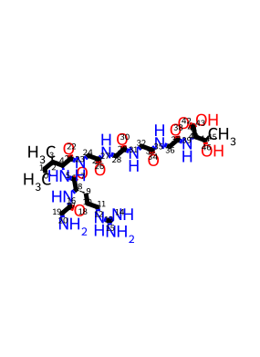 CC[C@H](C)[C@H](NC(=O)[C@H](CCCNC(=N)N)NC(=O)CN)C(=O)NCC(=O)NCC(=O)NCC(=O)NCC(=O)N[C@H](C(=O)O)[C@@H](C)O